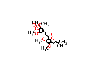 COCOc1c(OC)cc(C=CC(=O)c2c(OC)cc(OC)c(CC=C(C)C)c2O)cc1OC